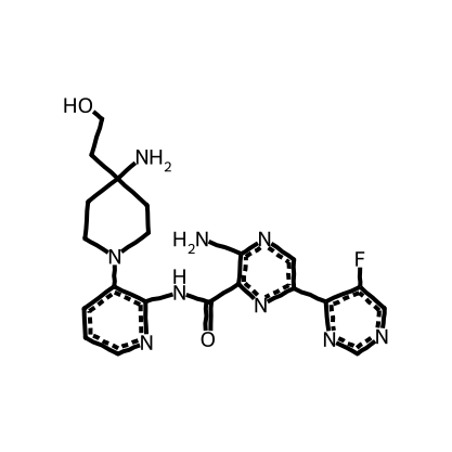 Nc1ncc(-c2ncncc2F)nc1C(=O)Nc1ncccc1N1CCC(N)(CCO)CC1